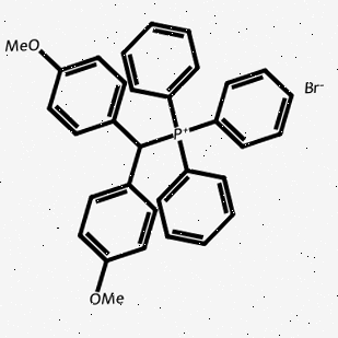 COc1ccc(C(c2ccc(OC)cc2)[P+](c2ccccc2)(c2ccccc2)c2ccccc2)cc1.[Br-]